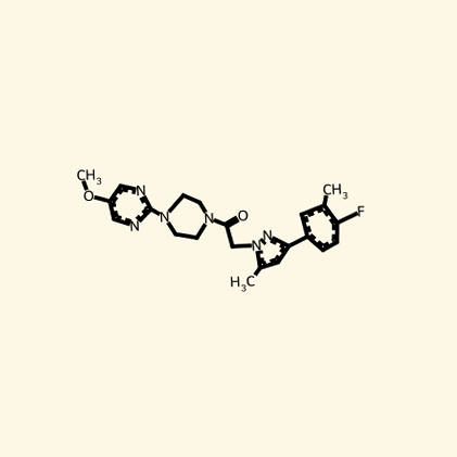 COc1cnc(N2CCN(C(=O)Cn3nc(-c4ccc(F)c(C)c4)cc3C)CC2)nc1